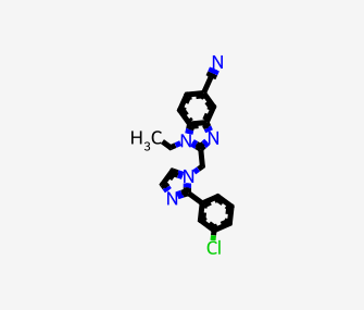 CCn1c(Cn2ccnc2-c2cccc(Cl)c2)nc2cc(C#N)ccc21